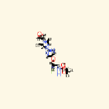 CC1CN(c2ncc(OC/C(=C/F)CNC(=O)OC(C)(C)C)cn2)CC(C)N1C1COC1